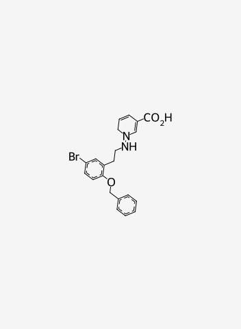 O=C(O)C1=CN(NCCc2cc(Br)ccc2OCc2ccccc2)CC=C1